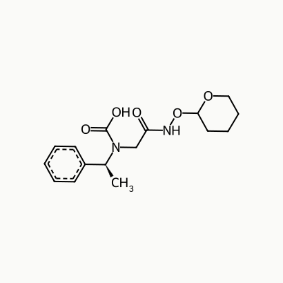 C[C@@H](c1ccccc1)N(CC(=O)NOC1CCCCO1)C(=O)O